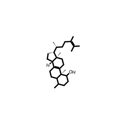 CC(C)=C(C)CC[C@@H](C)[C@H]1CC[C@H]2C3=C(CC[C@]12C)[C@@]1(C)C(O)CCC(C)C1CC3